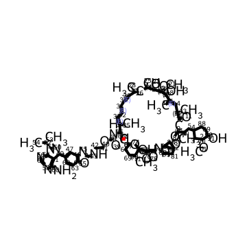 CO[C@@H]1CC(C[C@@H](C)[C@@H]2CC(=O)[C@H](C)/C=C(\C)[C@@H](O)[C@@H](OC)C(=O)[C@H](C)C[C@H](C)/C=C/C=C/C=C(\C)C(NC(=O)OCCNc3nc4cc(-c5nn(C(C)C)c6ncnc(N)c56)ccc4o3)C[C@@H]3CC[C@@H](C)[C@@](O)(O3)C(=O)C(=O)N3CCCC(O2)[C@H]3C=O)CC[C@H]1O